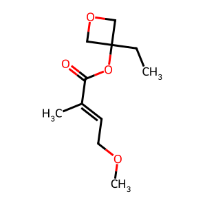 CCC1(OC(=O)C(C)=CCOC)COC1